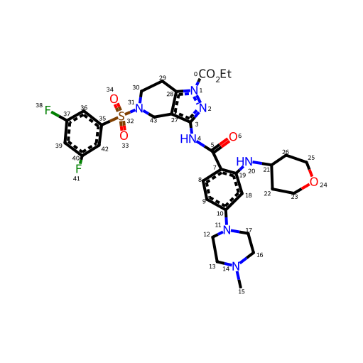 CCOC(=O)n1nc(NC(=O)c2ccc(N3CCN(C)CC3)cc2NC2CCOCC2)c2c1CCN(S(=O)(=O)c1cc(F)cc(F)c1)C2